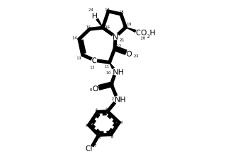 O=C(Nc1ccc(Cl)cc1)N[C@H]1CC=CC[C@@H]2CC[C@@H](C(=O)O)N2C1=O